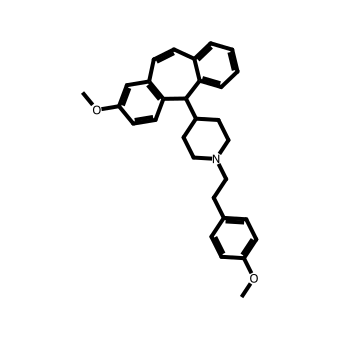 COc1ccc(CCN2CCC(C3c4ccccc4C=Cc4cc(OC)ccc43)CC2)cc1